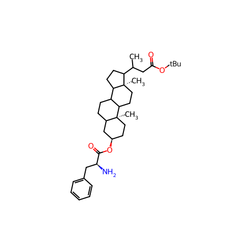 CC(CC(=O)OC(C)(C)C)C1CCC2C3CCC4C[C@H](OC(=O)[C@@H](N)Cc5ccccc5)CC[C@]4(C)C3CC[C@]12C